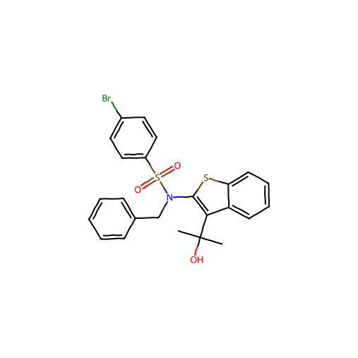 CC(C)(O)c1c(N(Cc2ccccc2)S(=O)(=O)c2ccc(Br)cc2)sc2ccccc12